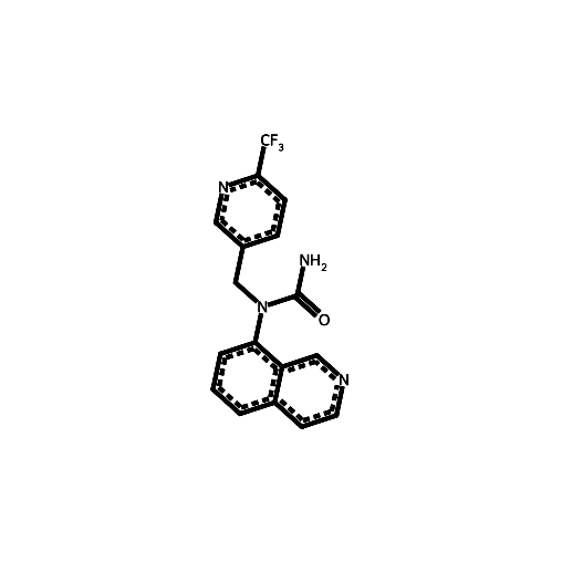 NC(=O)N(Cc1ccc(C(F)(F)F)nc1)c1cccc2ccncc12